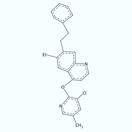 CCc1cc2c(Oc3ncc(C)cc3Cl)ccnc2cc1CCc1ccccc1